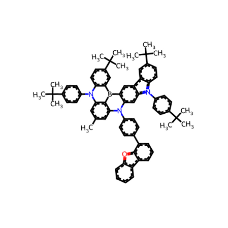 Cc1cc2c3c(c1)N(c1ccc(-c4cccc5c4oc4ccccc45)cc1)c1cc4c(cc1B3c1cc(C(C)(C)C)ccc1N2c1ccc(C(C)(C)C)cc1)c1cc(C(C)(C)C)ccc1n4-c1ccc(C(C)(C)C)cc1